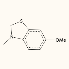 COc1ccc2c(c1)SCN2C